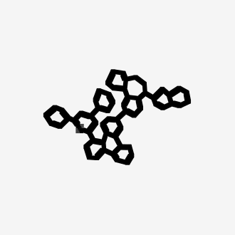 c1ccc(-c2cc(-c3ccccc3)nc(-c3cccc4c5ccccc5c5cc(-c6ccc7c(c6)-c6ccccc6CCC7c6ccc7ccccc7c6)ccc5c34)c2)cc1